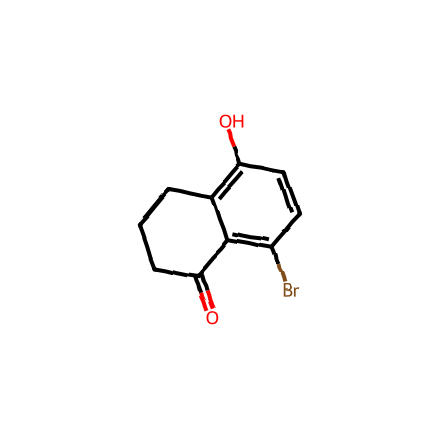 O=C1CCCc2c(O)ccc(Br)c21